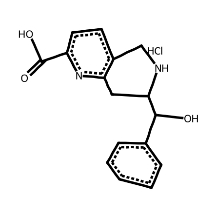 Cl.O=C(O)c1ccc2c(n1)CC(C(O)c1ccccc1)NC2